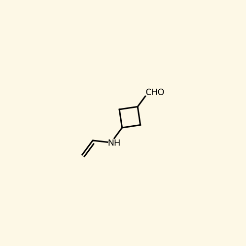 C=CNC1CC(C=O)C1